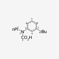 CCCN(C(=O)O)c1cccc(C(C)CC)c1